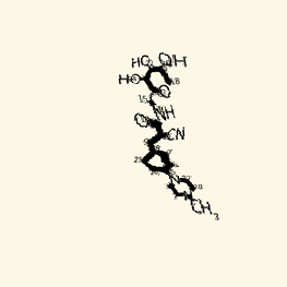 CN1CCN(c2ccc(/C=C(\C#N)C(=O)NC[C@H]3OC[C@H](O)[C@@H](O)[C@@H]3O)cc2)CC1